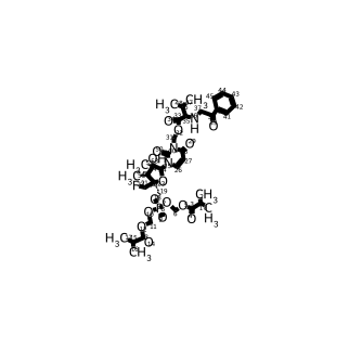 CC(C)C(=O)OCOP(=O)(OCOC(=O)C(C)C)OC[C@@]1(CF)OC(n2ccc(=O)n(COC(=O)C(NCC(=O)c3ccccc3)C(C)C)c2=O)[C@](C)(O)[C@@H]1C